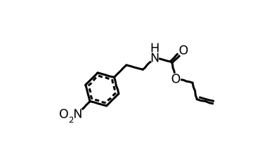 C=CCOC(=O)NCCc1ccc([N+](=O)[O-])cc1